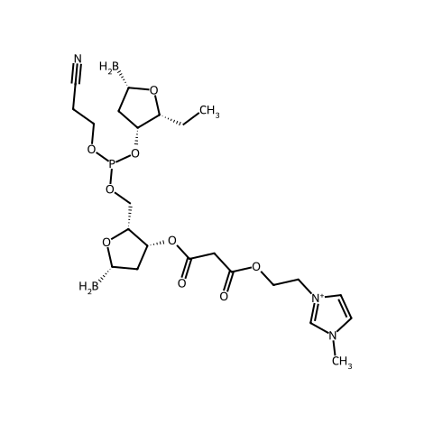 B[C@H]1C[C@@H](OC(=O)CC(=O)OCC[n+]2ccn(C)c2)[C@@H](COP(OCCC#N)O[C@@H]2C[C@H](B)O[C@@H]2CC)O1